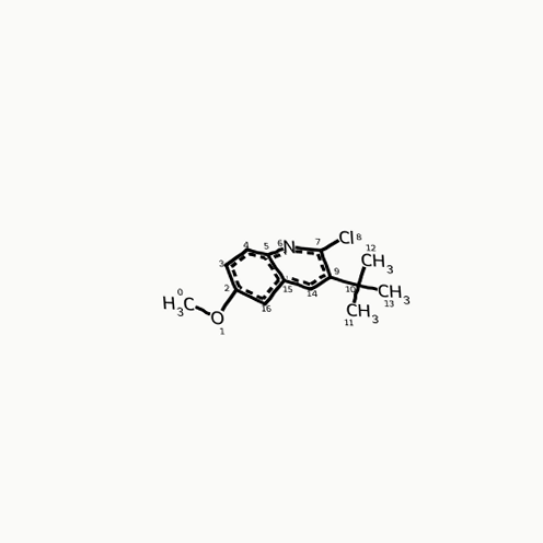 COc1ccc2nc(Cl)c(C(C)(C)C)cc2c1